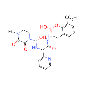 CCN1CCN(C(O)NC(C(=O)N[C@H]2Cc3cccc(C(=O)O)c3OB2O)c2ccccn2)C(=O)C1=O